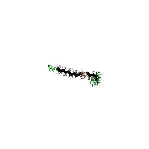 FC(F)(F)C(F)(F)CCCSCCCCCCCCCBr